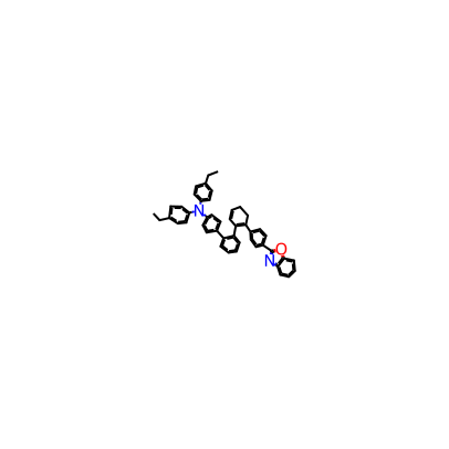 CCc1ccc(N(c2ccc(CC)cc2)c2ccc(-c3ccccc3C3=C(c4ccc(-c5nc6ccccc6o5)cc4)CCC=C3)cc2)cc1